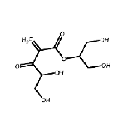 C=C(C(=O)OC(CO)CO)C(=O)C(O)CO